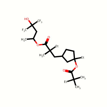 CCC1(OC(=O)C(C)(C)CC)CCC(CC(C)(CC)C(=O)OC(C)CC(O)(C(F)(F)F)C(F)(F)F)C1